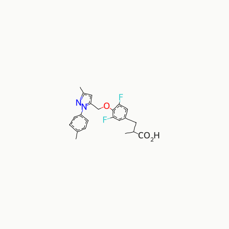 Cc1ccc(-n2nc(C)cc2COc2c(F)cc(CC(C)C(=O)O)cc2F)cc1